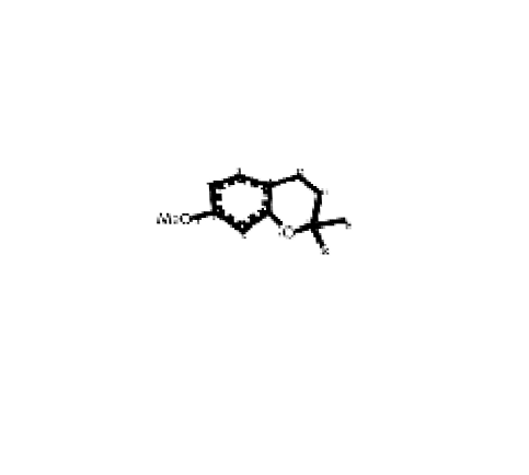 COc1ccc2c(c1)OC(C)(C)C[CH]2